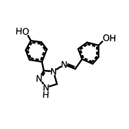 Oc1ccc(C=NN2CNN=C2c2ccc(O)cc2)cc1